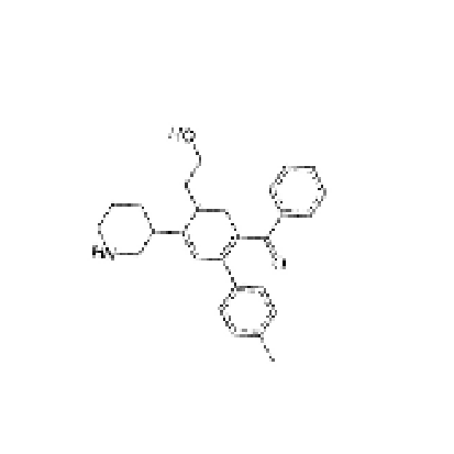 Cc1ccc(C2=C(C(=O)c3ccccc3)C[C](CCO)C(C3CCCNC3)=C2)cc1